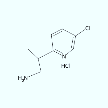 CC(CN)c1ccc(Cl)cn1.Cl